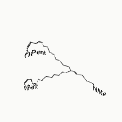 CCCCC/C=C\C/C=C\CCCCCCCCC(/C=C/CCCNC)CCCCCCCC/C=C\C/C=C\CCCCC